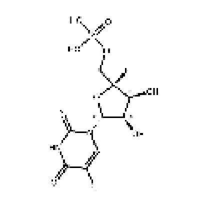 O=c1[nH]c(=S)n([C@@H]2O[C@](F)(COP(=O)(O)O)[C@@H](O)[C@H]2O)cc1Cl